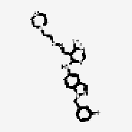 Nc1ncnc(Nc2ccc3c(cnn3Cc3cccc(F)c3)c2)c1C=NOCCN1CCOCC1